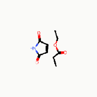 CCOC(=O)CC.O=C1C=CC(=O)N1